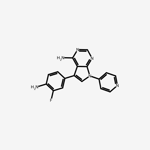 Nc1ccc(-c2cn(-c3ccncc3)c3ncnc(N)c23)cc1F